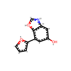 Oc1cc(-c2ccco2)c2ocnc2c1